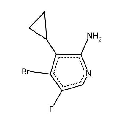 Nc1ncc(F)c(Br)c1C1CC1